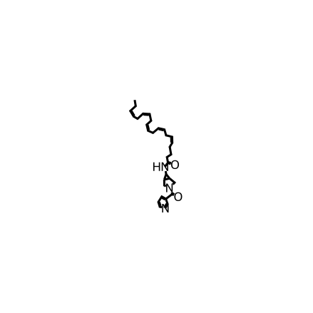 CC/C=C\C/C=C\C/C=C\C/C=C\C/C=C\CCCC(=O)NC1C2CN(C(=O)c3cccnc3)CC21